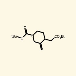 C=C1CN(C(=O)OC(C)(C)C)CCC1CC(=O)OCC